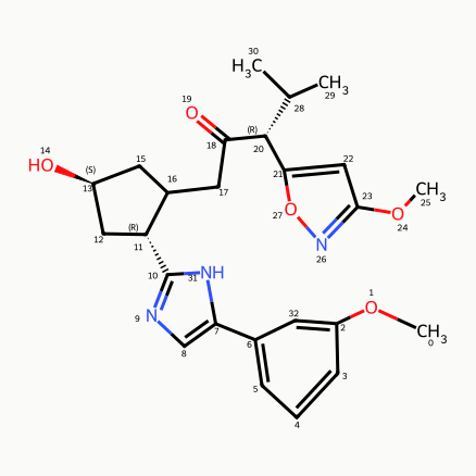 COc1cccc(-c2cnc([C@@H]3C[C@@H](O)CC3CC(=O)[C@@H](c3cc(OC)no3)C(C)C)[nH]2)c1